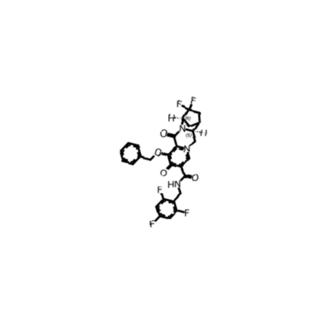 O=C(NCc1c(F)cc(F)cc1F)c1cn2c(c(OCc3ccccc3)c1=O)C(=O)N1[C@H](C2)C2C[C@@H]1C(F)(F)C2